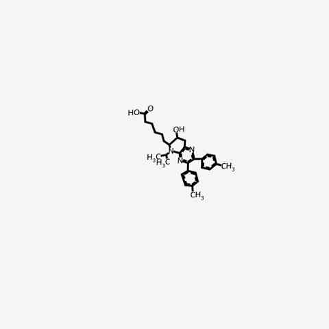 Cc1ccc(-c2nc3c(nc2-c2ccc(C)cc2)N(C(C)C)C(CCCCCC(=O)O)C(O)C3)cc1